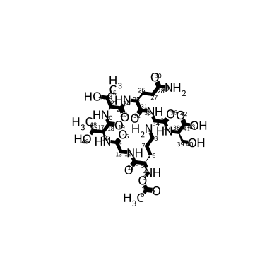 CC(=O)ON[C@@H](CCCN)C(=O)NCC(=O)N[C@H](C(=O)N[C@@H](C(=O)N[C@@H](CCC(N)=O)C(=O)NCC(=O)N[C@H](CO)C(=O)O)[C@H](C)O)[C@@H](C)O